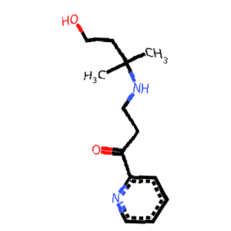 CC(C)(CCO)NCCC(=O)c1ccccn1